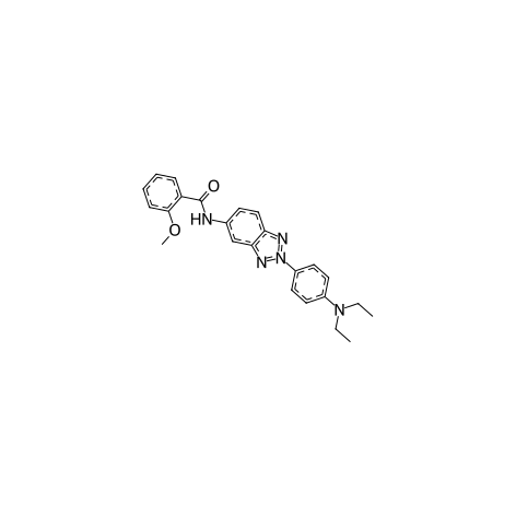 CCN(CC)c1ccc(-n2nc3ccc(NC(=O)c4ccccc4OC)cc3n2)cc1